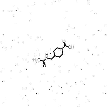 CC(=O)NCC1CCN(C(=O)O)CC1